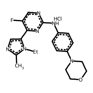 CCn1c(-c2nc(Nc3ccc(N4CCOCC4)cc3)ncc2F)cnc1C.Cl